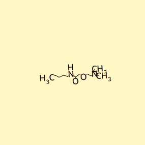 CCCCCNC(=O)COCCN(C)C